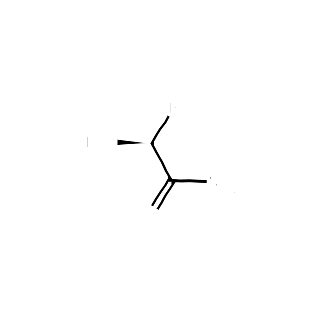 C[C@@H](Br)C(N)=O